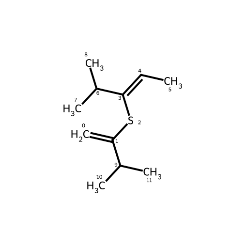 C=C(S/C(=C\C)C(C)C)C(C)C